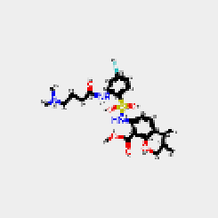 COC(=O)c1c(NS(=O)(=O)c2ccc(F)cc2NC(=O)CCCN(C)C)ccc2c1OCC(C)C2C